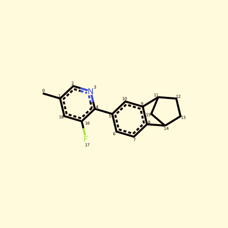 Cc1cnc(-c2ccc3c(c2)C2CCC3C2)c(F)c1